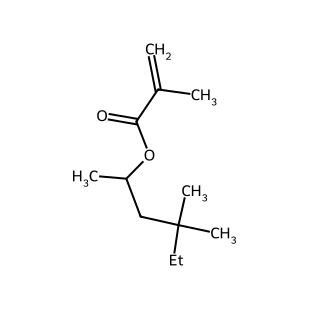 C=C(C)C(=O)OC(C)CC(C)(C)CC